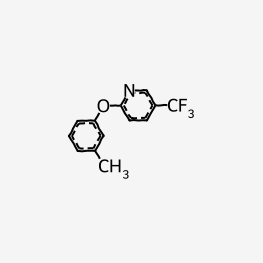 Cc1cccc(Oc2ccc(C(F)(F)F)cn2)c1